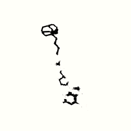 C[C@]1(COC(=O)OCCCCC23CC4CC(CC(C4)C2)C3)O[C@@H](n2cnc3c(N)cc(F)nc32)C[C@@H]1O